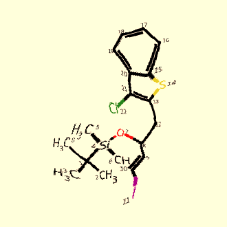 CC(C)(C)[Si](C)(C)OC(C=CI)Cc1sc2ccccc2c1Cl